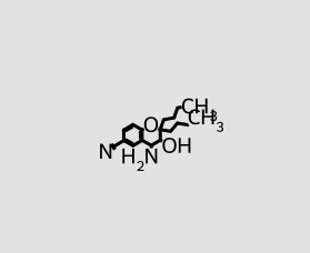 CCCCC1(CCCC)Oc2ccc(C#N)cc2C(N)C1O